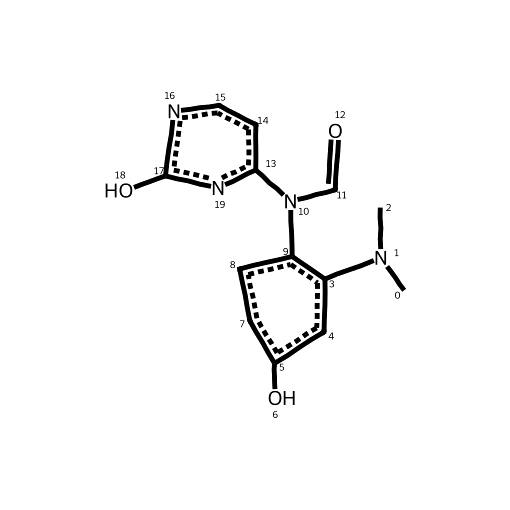 CN(C)c1cc(O)ccc1N(C=O)c1ccnc(O)n1